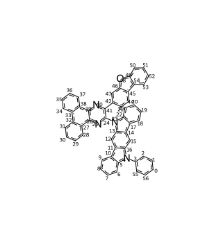 c1ccc(-n2c3ccccc3c3cc4c(cc32)c2ccccc2n4-c2nc3c4ccccc4c4ccccc4c3nc2-c2ccc3c(c2)oc2ccccc23)cc1